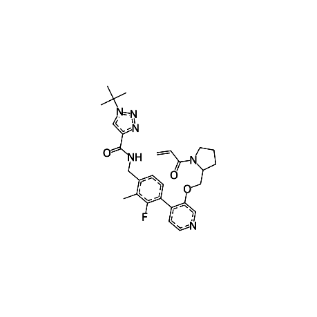 C=CC(=O)N1CCCC1COc1cnccc1-c1ccc(CNC(=O)c2cn(C(C)(C)C)nn2)c(C)c1F